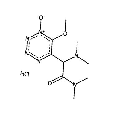 COc1c(C(C(=O)N(C)C)N(C)C)nnn[n+]1[O-].Cl